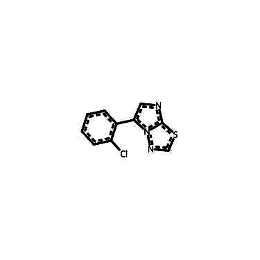 Clc1ccccc1-c1cnc2s[c]nn12